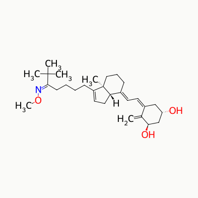 C=C1/C(=C\C=C2/CCC[C@]3(C)C(CCCC/C(=N\OC)C(C)(C)C)=CC[C@@H]23)C[C@H](O)C[C@H]1O